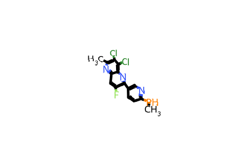 CPc1ccc(-c2nc3c(Cl)c(Cl)c(C)nc3cc2F)cn1